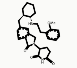 COc1ccccc1CCN[C@H]1CCCC[C@@H]1Cc1ccc2c(c1)CN(C1CCC(=O)NC1=O)C2=O